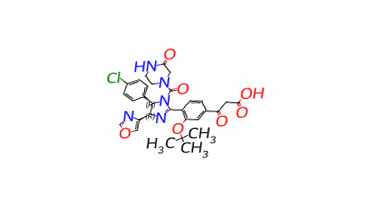 CC(C)(C)Oc1cc(C(=O)CC(=O)O)ccc1C1=N[C@@H](c2cocn2)[C@@H](c2ccc(Cl)cc2)N1C(=O)N1CCNC(=O)C1